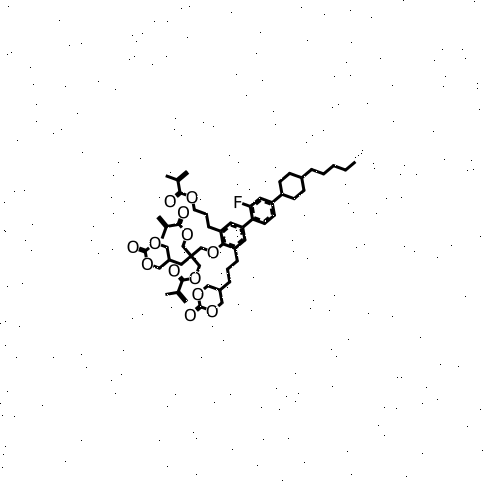 C=C(C)C(=O)OCCCc1cc(-c2ccc(C3CCC(CCCCC)CC3)cc2F)cc(CCCC2COC(=O)OC2)c1OCC(COC(=O)C(=C)C)(COC(=O)C(=C)C)CC1COC(=O)OC1